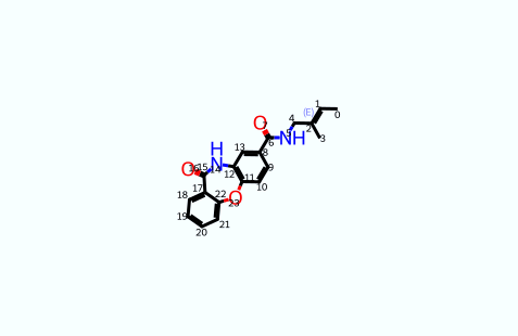 C/C=C(\C)CNC(=O)c1ccc2c(c1)NC(=O)c1ccccc1O2